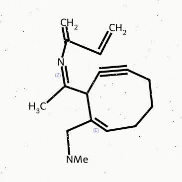 C=CC(=C)/N=C(/C)C1C#CCCC/C=C\1CNC